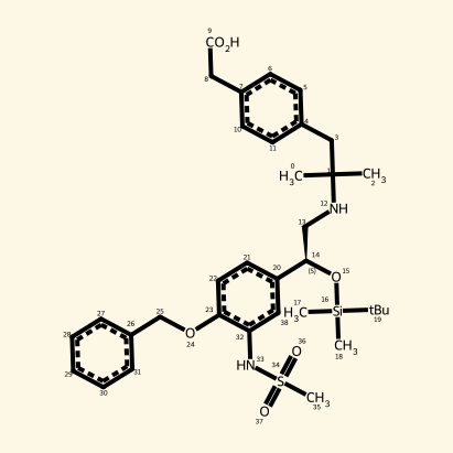 CC(C)(Cc1ccc(CC(=O)O)cc1)NC[C@@H](O[Si](C)(C)C(C)(C)C)c1ccc(OCc2ccccc2)c(NS(C)(=O)=O)c1